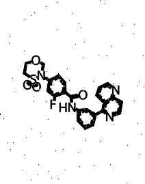 O=C(Nc1cccc(-c2nccc3ncccc23)c1)c1ccc(N2COCCS2(=O)=O)cc1F